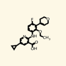 CCOc1c(Nc2ncc(C3CC3)cc2C(=O)O)ccc(F)c1C1=CCOCC1